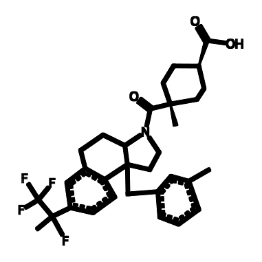 Cc1cccc(CC23CCN(C(=O)[C@]4(C)CC[C@@H](C(=O)O)CC4)C2CCc2cc(C(C)(F)C(F)(F)F)ccc23)c1